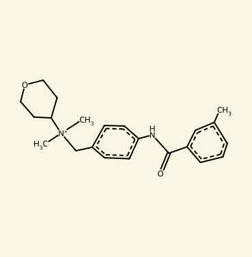 Cc1cccc(C(=O)Nc2ccc(C[N+](C)(C)C3CCOCC3)cc2)c1